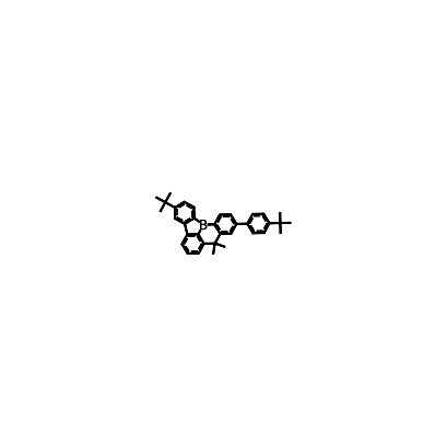 CC(C)(C)c1ccc(-c2ccc3c(c2)C(C)(C)c2cccc4c2B3c2ccc(C(C)(C)C)cc2-4)cc1